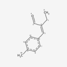 CC/C(C=O)=C/c1ccc(C)cc1